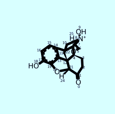 O=C1CC[C@]23OCC[N+]4(O)CC[C@@]25c2c(ccc(O)c2O[C@@H]15)C[C@H]34